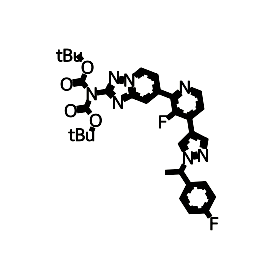 CC(c1ccc(F)cc1)n1cc(-c2ccnc(-c3ccn4nc(N(C(=O)OC(C)(C)C)C(=O)OC(C)(C)C)nc4c3)c2F)cn1